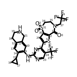 O=C1c2sc(-c3nc(Nc4cc5c(cc4C4CC4)CCNC5)ncc3C(F)(F)F)cc2S(=O)(=O)CCN1CC(F)(F)F